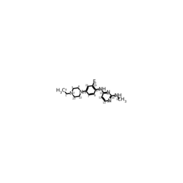 CCN1CCN(c2ccc(Nc3ccnc(NC)n3)c(F)c2)CC1